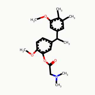 COc1ccc(C(C)c2cc(C)c(C)c(OC)c2)cc1OC(=O)CN(C)C